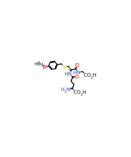 CCCCOc1ccc(CSC[C@H](NC(=O)CC[C@H](N)C(=O)O)C(=O)NCC(=O)O)cc1